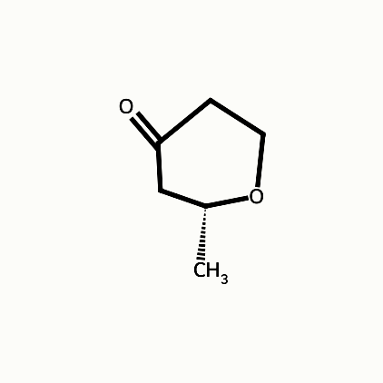 C[C@@H]1CC(=O)CCO1